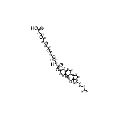 CC(C)CCCCC1CCC2C3CC=C4CC(OC(=O)NCCOCCOCCOCCOCCC(=O)O)CCC4(C)C3CCC12C